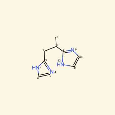 [CH2]C(Cc1ncc[nH]1)c1ncc[nH]1